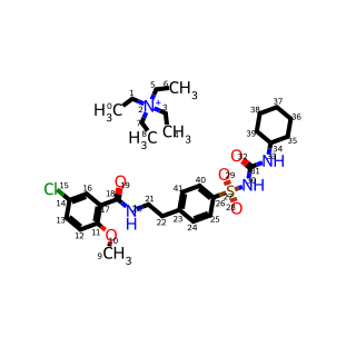 CC[N+](CC)(CC)CC.COc1ccc(Cl)cc1C(=O)NCCc1ccc(S(=O)(=O)NC(=O)NC2CCCCC2)cc1